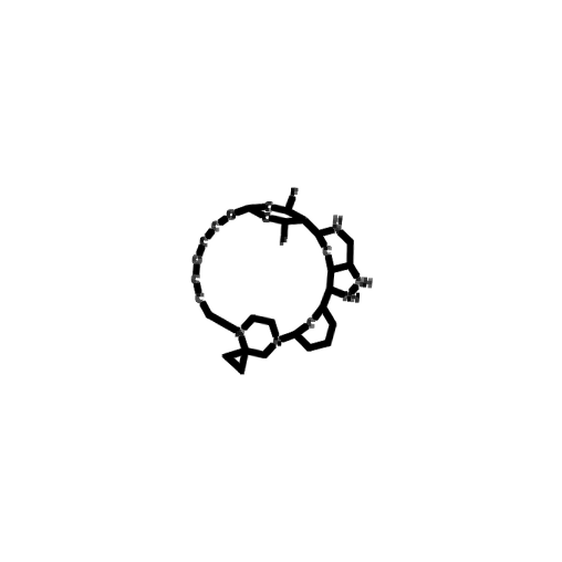 FC1CC2CC(F)C1C1CC3C(CN1)NNC3C1CCCC(C1)N1CCN(CCCOCCO2)C2(CC2)C1